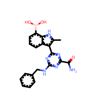 Cc1[nH]c2c(B(O)O)cccc2c1-c1nc(NCc2ccccc2)nc(C(N)=O)n1